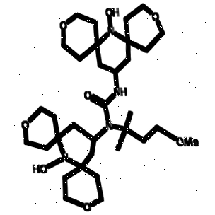 COCCC(C)(C)N(C(=O)NC1CC2(CCOCC2)N(O)C2(CCOCC2)C1)C1CC2(CCOCC2)N(O)C2(CCOCC2)C1